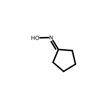 O/N=C1\[CH]CCC1